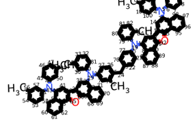 Cc1ccc(N(c2ccccc2C)c2cc3c4cc(N(c5ccc(Cc6ccc(N(c7cccc(C)c7)c7cc8c9cc(N(c%10cccc(C)c%10)c%10cccc(C)c%10)c%10ccccc%10c9oc8c8ccccc78)cc6C)cc5)c5ccccc5C)c5ccccc5c4oc3c3ccccc23)cc1